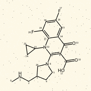 CNCC1CCN(c2c(C(=O)O)c(=O)c3cc(F)cc(F)c3n2C2CC2)C1